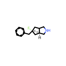 F[C@]1(Cc2ccccc2)CC2CNC[C@H]2C1